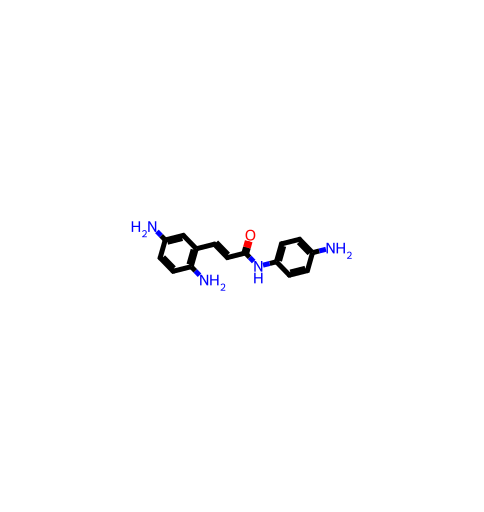 Nc1ccc(NC(=O)C=Cc2cc(N)ccc2N)cc1